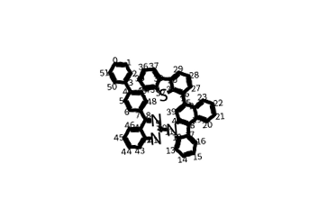 c1ccc(-c2ccc(-c3nc(-n4c5ccccc5c5c6ccccc6c(-c6cccc7c6sc6ccccc67)cc54)nc4ccccc34)cc2)cc1